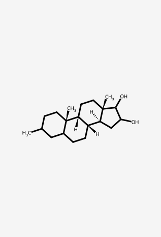 CC1CC[C@@]2(C)C(CC[C@@H]3[C@H]2CC[C@]2(C)C(O)C(O)C[C@@H]32)C1